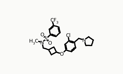 CN(CC1CC(Oc2ccc(CN3CCCC3)c(Cl)c2)C1)S(=O)(=O)c1cccc(C(F)(F)F)c1